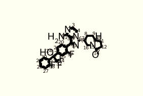 Nc1nccn2c([C@@H]3CC[C@H]4CCC(=O)N4C3)nc(-c3ccc(C(O)(c4ccccc4)C(F)(F)F)cc3F)c12